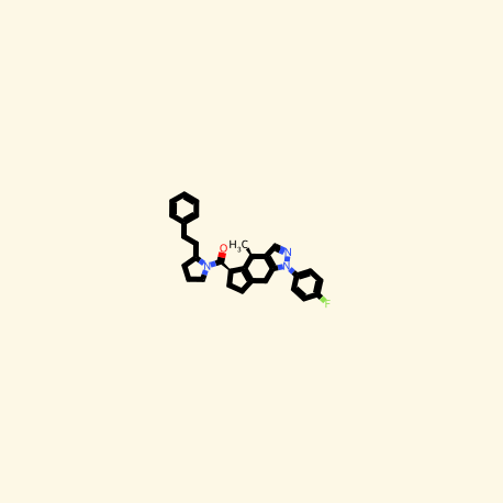 C[C@@H]1C2=C(CC[C@H]2C(=O)N2CCCC2CCc2ccccc2)Cc2c1cnn2-c1ccc(F)cc1